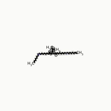 CCCCCCCC/C=C\CCCCCCCC(=O)O[C@H](COC(=O)CCCCCCC/C=C/CCCCCCCC)COP(C)(=O)OC